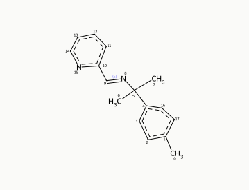 Cc1ccc(C(C)(C)/N=C/c2ccccn2)cc1